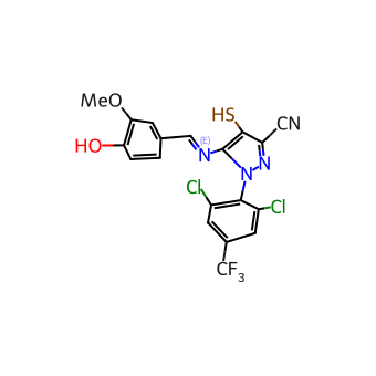 COc1cc(/C=N/c2c(S)c(C#N)nn2-c2c(Cl)cc(C(F)(F)F)cc2Cl)ccc1O